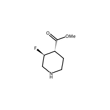 COC(=O)[C@@H]1CCNC[C@H]1F